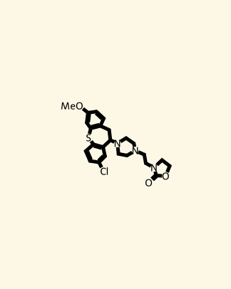 COc1ccc2c(c1)Sc1ccc(Cl)cc1C(N1CCN(CCN3CCOC3=O)CC1)C2